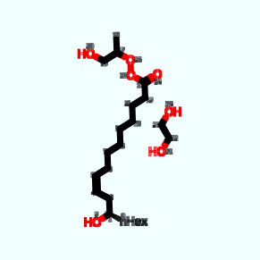 CCCCCC[C@@H](O)C/C=C\CCCCCCCC(=O)OOC(C)CO.OCCO